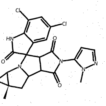 Cn1nccc1N1C(=O)C2C3C[C@]4(C)CC4N3C3(C(=O)Nc4c(Cl)cc(Cl)cc43)C2C1=O